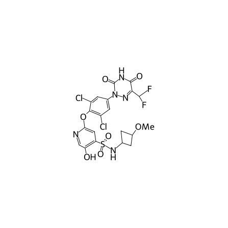 COC1CC(NS(=O)(=O)c2cc(Oc3c(Cl)cc(-n4nc(C(F)F)c(=O)[nH]c4=O)cc3Cl)ncc2O)C1